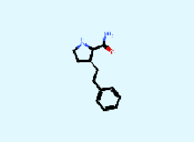 NC(=O)C1NCC[C@@H]1[CH]Cc1ccccc1